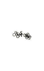 O=C(c1csc(C2CCN(S(=O)(=O)c3cccs3)CC2)n1)N1CCCC2CCCCC21